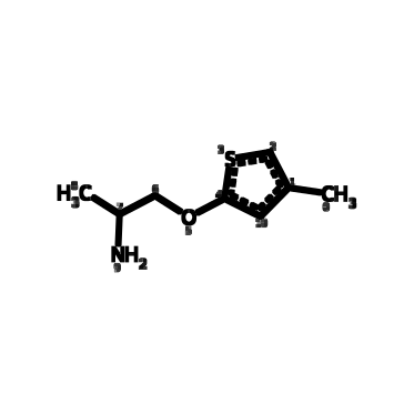 Cc1csc(OCC(C)N)c1